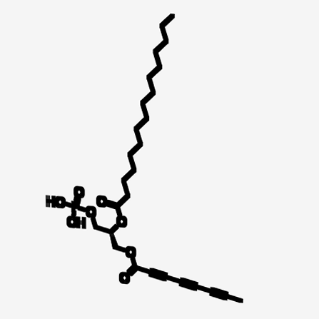 CC#CC#CC#CC(=O)OC[C@@H](COP(=O)(O)O)OC(=O)CCCCCCCCCCCCCCC